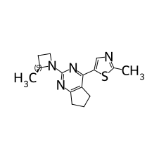 Cc1ncc(-c2nc(N3CC[C@@H]3C)nc3c2CCC3)s1